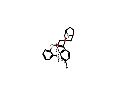 COc1c[c]ccc1OCCCN1C2CCC1CC(c1noc3cc(F)ccc13)C2